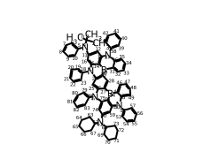 CC(C)(C)N(c1ccccc1)c1cc2c3c(c1)N(c1ccccc1)c1cc4c(cc1B3c1ccccc1N2c1ccccc1)B1c2ccccc2N(c2ccccc2)c2cc(N(C3CCCCC3)C3CCCCC3)cc(c21)N4c1ccccc1